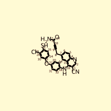 N#Cc1cnc2ccc(CC#CC(N)=O)cc2c1Nc1ccc(Oc2ccc(S)c(Cl)c2)cc1